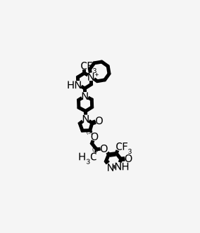 C[C@@H](CO[C@H]1CCN(C2CCN(C3C[N+]4(CCCCCCC4)C(C(F)(F)F)CN3)CC2)C1=O)Oc1cn[nH]c(=O)c1C(F)(F)F